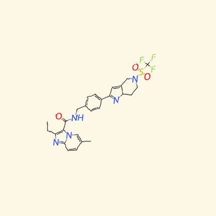 CCc1nc2ccc(C)cn2c1C(=O)NCc1ccc(C2=NC3CCN(S(=O)(=O)C(F)(F)F)CC3=C2)cc1